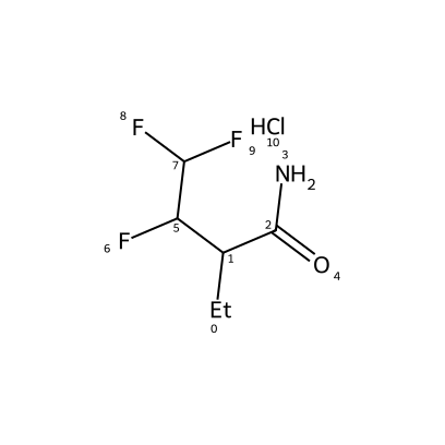 CCC(C(N)=O)C(F)C(F)F.Cl